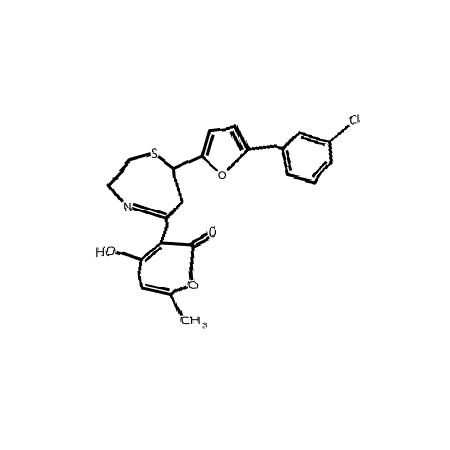 Cc1cc(O)c(C2=NCCSC(c3ccc(-c4cccc(Cl)c4)o3)C2)c(=O)o1